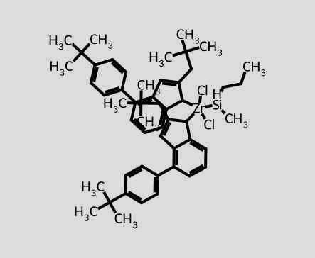 CCC[SiH](C)[Zr]([Cl])([Cl])([CH]1C(CC(C)(C)C)=Cc2c(-c3ccc(C(C)(C)C)cc3)cccc21)[CH]1C(CC(C)(C)C)=Cc2c(-c3ccc(C(C)(C)C)cc3)cccc21